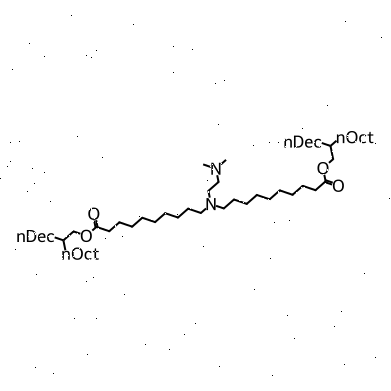 CCCCCCCCCCC(CCCCCCCC)COC(=O)CCCCCCCCCN(CCCCCCCCCC(=O)OCC(CCCCCCCC)CCCCCCCCCC)CCN(C)C